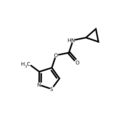 Cc1nscc1OC(=O)NC1CC1